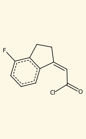 O=C(Cl)/C=C1/CCc2c(F)cccc21